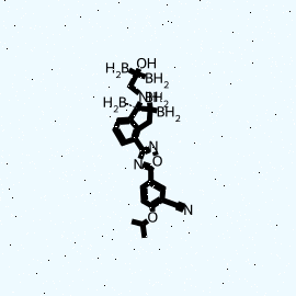 BC(B)(O)CN[C@]1(B)c2cccc(-c3noc(-c4ccc(OC(C)C)c(C#N)c4)n3)c2CC1(B)B